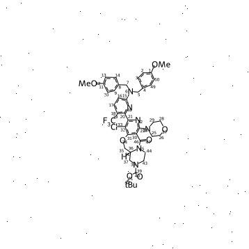 COc1ccc(CN(Cc2ccc(OC)cc2)c2ccc(C(F)(F)F)c(-c3nc(N4CCOCC4)c4c(c3Cl)OC[C@H]3CN(C(=O)OC(C)(C)C)CCN3C4=O)n2)cc1